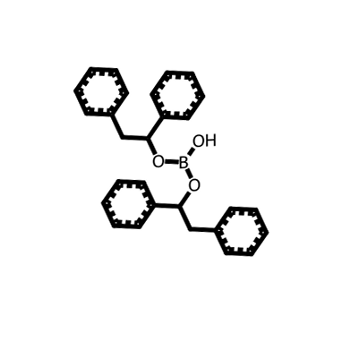 OB(OC(Cc1ccccc1)c1ccccc1)OC(Cc1ccccc1)c1ccccc1